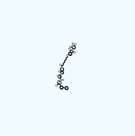 O=C1CCC(N2C(=O)c3ccc(OCCCCCCCC(=O)N4CCC5(CC4)CCN(c4cncc(Nc6ncc(Cl)c(-c7cccc(-c8ccccc8)c7)n6)c4)C5=O)cc3C2=O)C(=O)N1